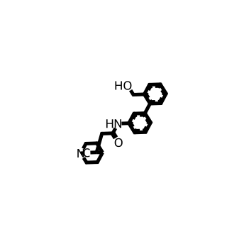 O=C(CC1CN2CCC1CC2)Nc1cccc(-c2ccccc2CO)c1